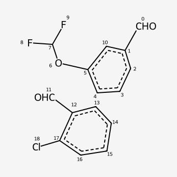 O=Cc1cccc(OC(F)F)c1.O=Cc1ccccc1Cl